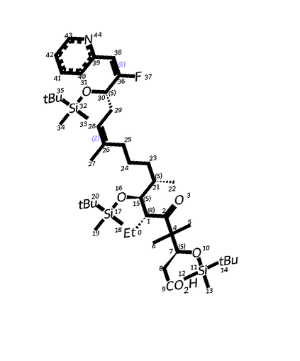 CC[C@@H](C(=O)C(C)(C)[C@H](CC(=O)O)O[Si](C)(C)C(C)(C)C)[C@@H](O[Si](C)(C)C(C)(C)C)[C@@H](C)CCC/C(C)=C\C[C@H](O[Si](C)(C)C(C)(C)C)/C(F)=C\c1ccccn1